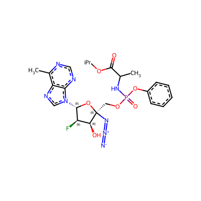 Cc1ncnc2c1ncn2[C@@H]1O[C@@](COP(=O)(NC(C)C(=O)OC(C)C)Oc2ccccc2)(N=[N+]=[N-])[C@@H](O)[C@H]1F